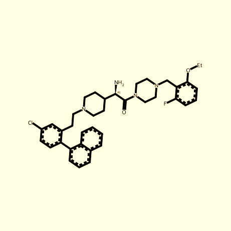 CCOc1cccc(F)c1CN1CCN(C(=O)[C@H](N)C2CCN(CCc3cc(Cl)ccc3-c3cccc4ccccc34)CC2)CC1